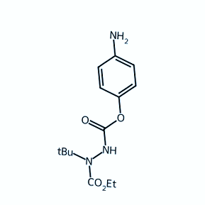 CCOC(=O)N(NC(=O)Oc1ccc(N)cc1)C(C)(C)C